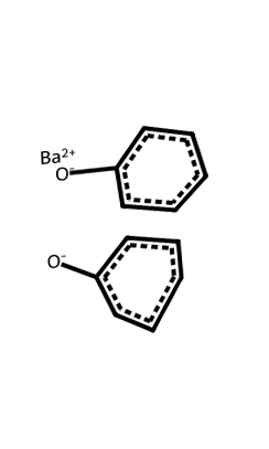 [Ba+2].[O-]c1ccccc1.[O-]c1ccccc1